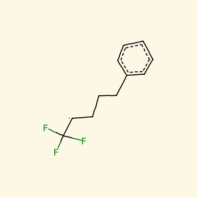 FC(F)(F)[CH]CCCc1ccccc1